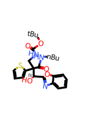 CCCCNC(=O)C(CNC(=O)OC(C)(C)C)(c1cccs1)[C@H](O)c1nc2ccccc2o1